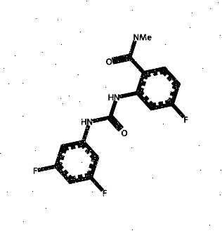 CNC(=O)c1ccc(F)cc1NC(=O)Nc1cc(F)cc(F)c1